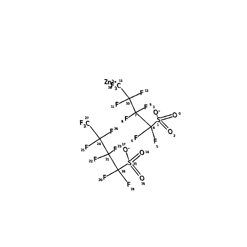 O=S(=O)([O-])C(F)(F)C(F)(F)C(F)(F)C(F)(F)F.O=S(=O)([O-])C(F)(F)C(F)(F)C(F)(F)C(F)(F)F.[Zn+2]